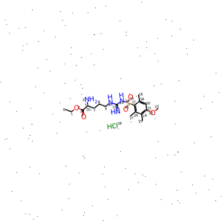 CCOC(=O)[C@@H](N)CCCNC(=N)NS(=O)(=O)c1c(C)cc(OC)c(C)c1C.Cl